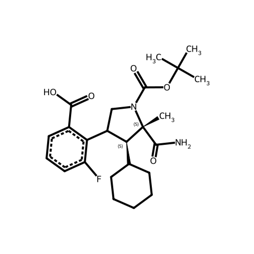 CC(C)(C)OC(=O)N1CC(c2c(F)cccc2C(=O)O)[C@H](C2CCCCC2)[C@@]1(C)C(N)=O